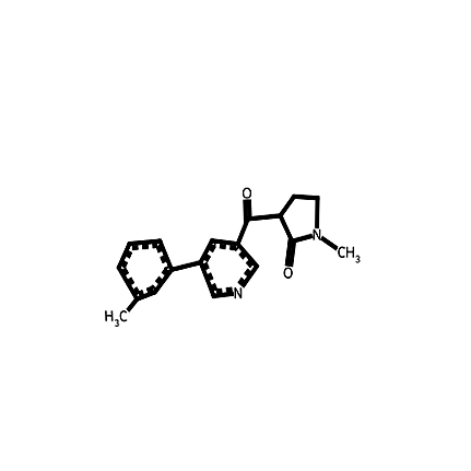 Cc1cccc(-c2cncc(C(=O)C3CCN(C)C3=O)c2)c1